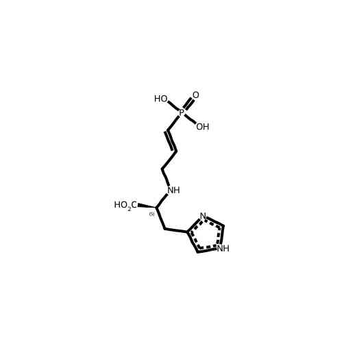 O=C(O)[C@H](Cc1c[nH]cn1)NCC=CP(=O)(O)O